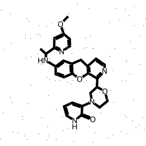 COc1ccnc(C(C)Nc2ccc3c(c2)Cc2ccnc(C4CN(c5ccc[nH]c5=O)CCO4)c2O3)c1